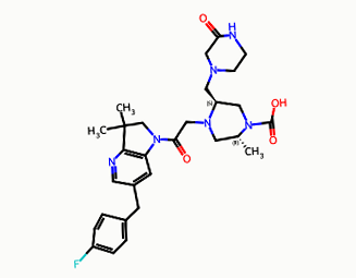 C[C@@H]1CN(CC(=O)N2CC(C)(C)c3ncc(Cc4ccc(F)cc4)cc32)[C@@H](CN2CCNC(=O)C2)CN1C(=O)O